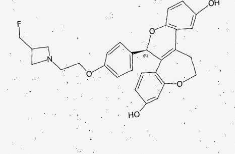 Oc1ccc2c(c1)OCCC1=C2[C@@H](c2ccc(OCCN3CC(CF)C3)cc2)Oc2ccc(O)cc21